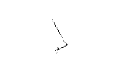 CCCCCCCCCCCCCCCCOCCCOP(=O)(O)CC/C=C/Cn1cnc2c(=O)[nH]c(N)nc21